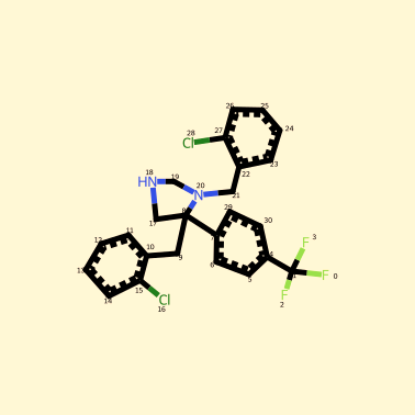 FC(F)(F)c1ccc(C2(Cc3ccccc3Cl)CNCN2Cc2ccccc2Cl)cc1